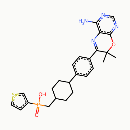 CC1(C)Oc2ncnc(N)c2N=C1c1ccc(C2CCC(CP(=O)(O)c3ccsc3)CC2)cc1